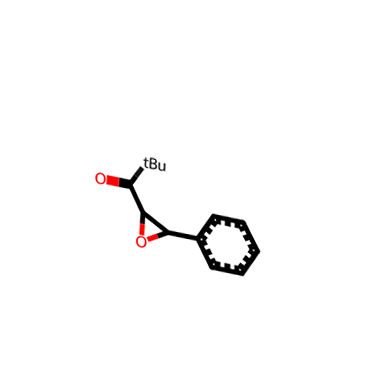 CC(C)(C)C(=O)C1OC1c1ccccc1